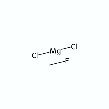 CF.[Cl][Mg][Cl]